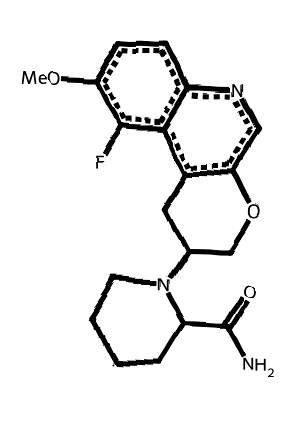 COc1ccc2ncc3c(c2c1F)CC(N1CC[CH]CC1C(N)=O)CO3